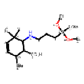 CCO[Si](CCCNC1C(C(=O)O)C(C(C)(C)C)C=CC1(C)C(C)C)(OC)OCC